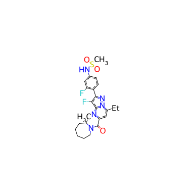 CCc1cc(C(=O)N2CCCCCC2C)nc2c(F)c(-c3ccc(NS(C)(=O)=O)cc3F)nn12